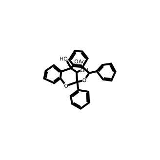 CC(=O)OC1(O)c2ccccc2OC(OC(c2ccccc2)c2ccccc2)(c2ccccc2)C1O